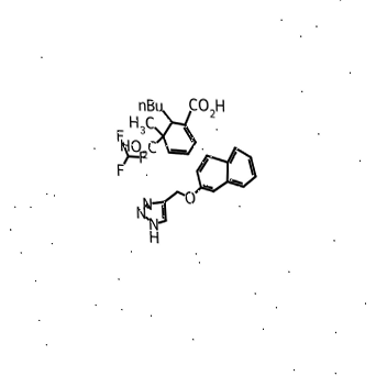 CCCCC1C(C(=O)O)=CC=CC1(C)C(=O)O.FC(F)F.c1ccc2cc(OCc3c[nH]nn3)ccc2c1